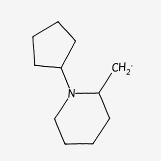 [CH2]C1CCCCN1C1CCCC1